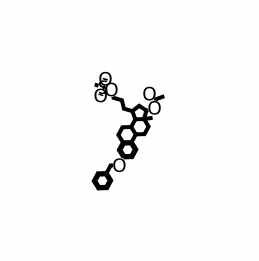 CC(=O)OC1CC(CCCOS(C)(=O)=O)C2C3CCc4cc(OCc5ccccc5)ccc4C3CCC12C